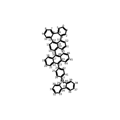 c1ccc2c(c1)-c1ccccc1-c1ccc(-c3c4ccccc4c(-c4ccc(-n5c6ccccc6c6ccccc65)cc4)c4ccccc34)c3cccc-2c13